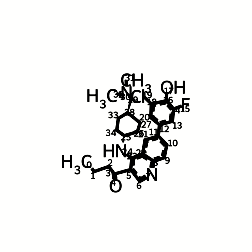 CCCC(=O)c1cnc2ccc(-c3cc(F)c(O)c(Cl)c3)cc2c1N[C@H]1CC[C@H](CN(C)C)CC1